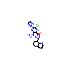 Nc1nc(-n2nccn2)c(Cl)nc1C(=O)NCC1CCCc2cccnc21